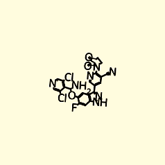 N#Cc1cc(-c2n[nH]c3cc(F)c(O[C@H](N)c4c(Cl)cncc4Cl)cc23)cnc1N1CCS1(=O)=O